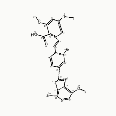 COc1cc(C=Cc2ccc(-c3cc4c(OC)ccc(Br)c4s3)cc2Br)c(C(=O)O)c(OC)c1